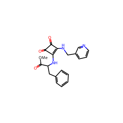 COC(=O)C(Cc1ccccc1)Nc1c(NCc2cccnc2)c(=O)c1=O